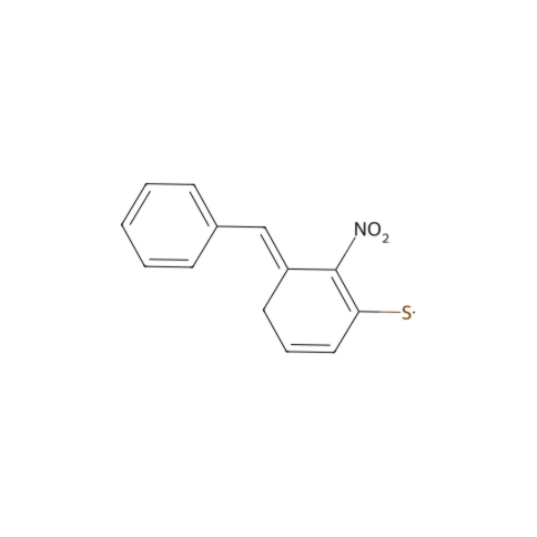 O=[N+]([O-])C1=C([S])C=CCC1=Cc1ccccc1